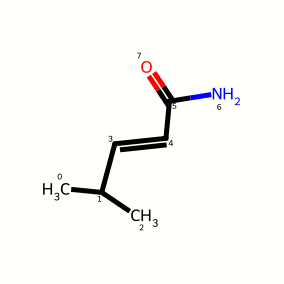 CC(C)C=CC(N)=O